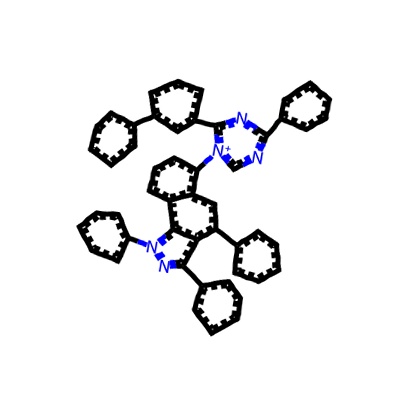 c1ccc(-c2cccc(-c3nc(-c4ccccc4)nc[n+]3-c3cccc4c3cc(-c3ccccc3)c3c(-c5ccccc5)nn(-c5ccccc5)c34)c2)cc1